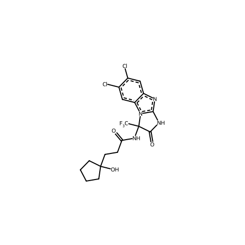 O=C(CCC1(O)CCCC1)NC1(C(F)(F)F)C(=O)Nc2nc3cc(Cl)c(Cl)cc3n21